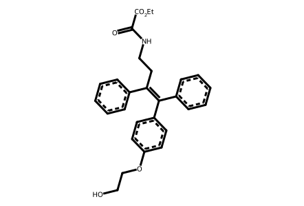 CCOC(=O)C(=O)NCC/C(=C(\c1ccccc1)c1ccc(OCCO)cc1)c1ccccc1